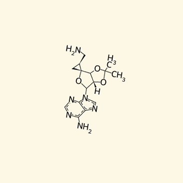 CC1(C)OC2[C@H](O1)C(n1cnc3c(N)ncnc31)O[C@@]21C[C@H]1CN